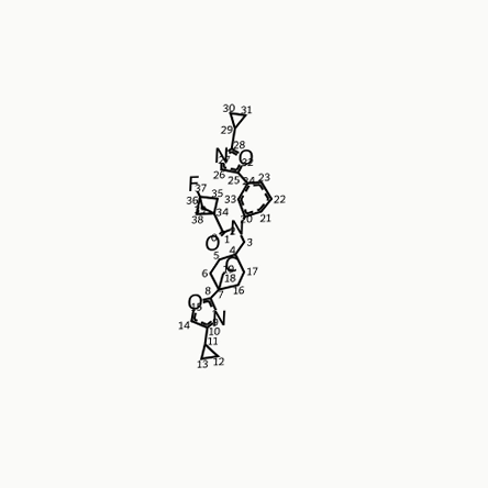 O=C(N(CC12CCC(c3nc(C4CC4)co3)(CC1)CC2)c1cccc(-c2cnc(C3CC3)o2)c1)C12CC(F)(C1)C2